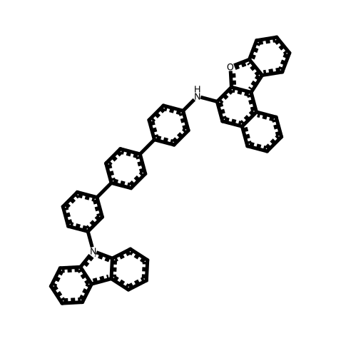 c1cc(-c2ccc(-c3ccc(Nc4cc5ccccc5c5c4oc4ccccc45)cc3)cc2)cc(-n2c3ccccc3c3ccccc32)c1